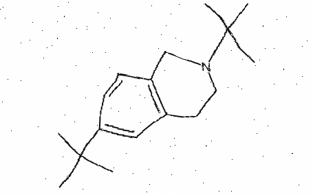 CC(C)(C)c1ccc2c(c1)CCN(C(C)(C)C)C2